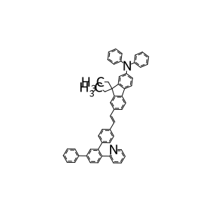 CCC1(CC)c2cc(/C=C/c3ccc(-c4cc(-c5ccccc5)ccc4-c4ccccn4)cc3)ccc2-c2ccc(N(c3ccccc3)c3ccccc3)cc21